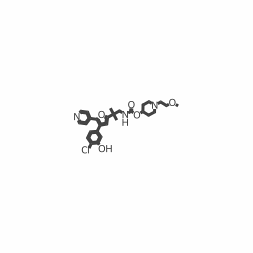 COCCN1CCC(OC(=O)NCC(C)(C)c2cc(-c3ccc(Cl)c(O)c3)c(-c3ccncc3)o2)CC1